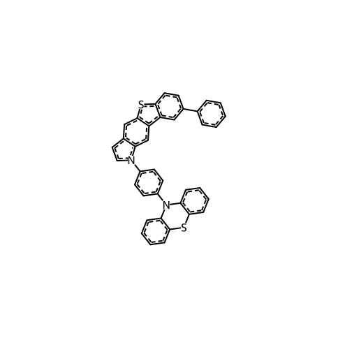 c1ccc(-c2ccc3sc4cc5ccn(-c6ccc(N7c8ccccc8Sc8ccccc87)cc6)c5cc4c3c2)cc1